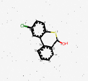 OC1Sc2ccc(Cl)cc2-c2ccccc21